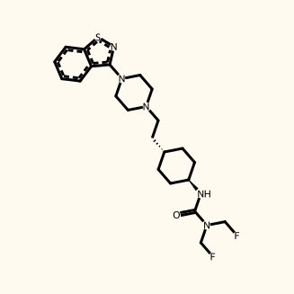 O=C(N[C@H]1CC[C@H](CCN2CCN(c3nsc4ccccc34)CC2)CC1)N(CF)CF